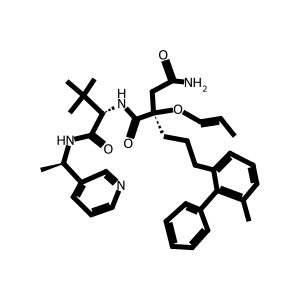 CC=CO[C@](CCCc1cccc(C)c1-c1ccccc1)(CC(N)=O)C(=O)N[C@H](C(=O)N[C@H](C)c1cccnc1)C(C)(C)C